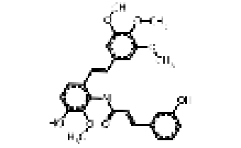 COc1cc(C=Cc2ccc(O)c(OC)c2NC(=O)/C=C/c2cccc(O)c2)cc(OC)c1OC